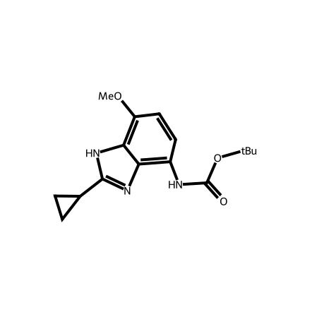 COc1ccc(NC(=O)OC(C)(C)C)c2nc(C3CC3)[nH]c12